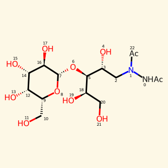 CC(=O)NN(C[C@@H](O)[C@H](O[C@@H]1O[C@H](CO)[C@H](O)[C@H](O)[C@H]1O)[C@H](O)CO)C(C)=O